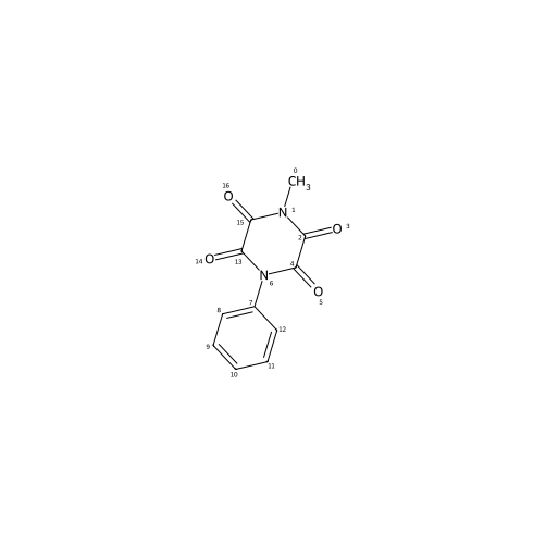 CN1C(=O)C(=O)N(c2ccccc2)C(=O)C1=O